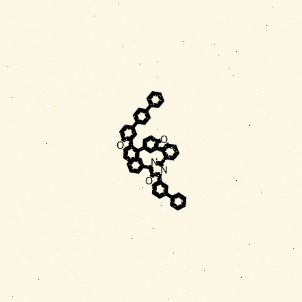 c1ccc(-c2ccc(-c3ccc4oc5cccc(-c6ccc7oc8cccc(-c9nc(-c%10ccccc%10)c%10oc%11ccc(-c%12ccccc%12)cc%11c%10n9)c8c7c6)c5c4c3)cc2)cc1